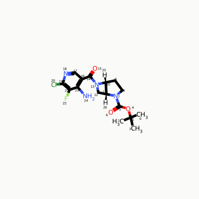 CC(C)(C)OC(=O)N1CC[C@@H]2[C@H]1CN2C(=O)c1cnc(Cl)c(F)c1N